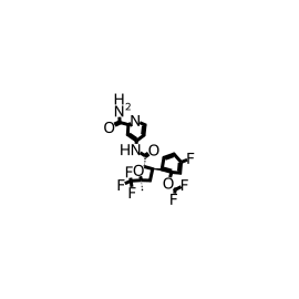 C[C@@]1(C(F)(F)F)C[C@H](c2ccc(F)cc2OC(F)F)[C@@H](C(=O)Nc2ccnc(C(N)=O)c2)O1